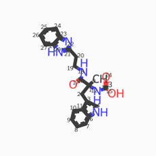 CC(Cc1c[nH]c2ccccc12)(NC(=O)O)C(=O)NCCc1nc2ccccc2[nH]1